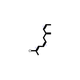 C=C(/C=C\C)C/C=C\C=C(/C)Cl